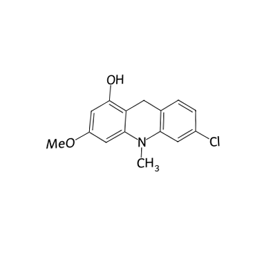 COc1cc(O)c2c(c1)N(C)c1cc(Cl)ccc1C2